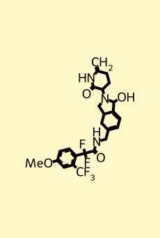 C=C1CCC(N2CC3CC(CNC(=O)C(F)(F)c4ccc(OC)cc4C(F)(F)F)=CC=C3C2O)C(=O)N1